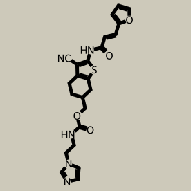 N#Cc1c(NC(=O)C=Cc2ccco2)sc2c1CCC(COC(=O)NCCn1ccnc1)C2